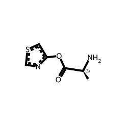 C[C@H](N)C(=O)Oc1cscn1